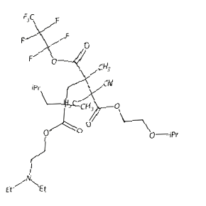 CCN(CC)CCOC(=O)C(C)(CC(C)C)CC(C)(C(=O)OC(F)(F)C(F)(F)C(F)(F)F)C(C)(C#N)C(=O)OCCOC(C)C